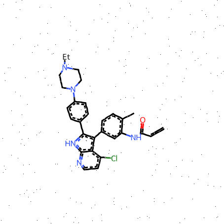 C=CC(=O)Nc1cc(-c2c(-c3ccc(N4CCN(CC)CC4)cc3)[nH]c3nccc(Cl)c23)ccc1C